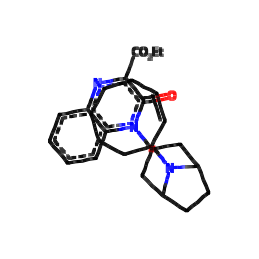 CCOC(=O)c1nc2ccccc2n(C2CC3CCC(C2)N3C2/C=C\CCCCC2)c1=O